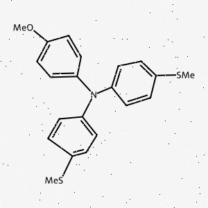 COc1ccc(N(c2ccc(SC)cc2)c2ccc(SC)cc2)cc1